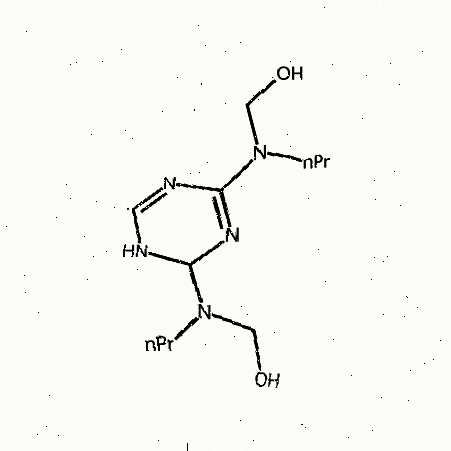 CCCN(CO)C1=NC(N(CO)CCC)N[C]=N1